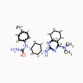 CC(C)c1ccc(N(C(N)=O)[C@H]2CC[C@@H](Nc3nc4c(c(N(C)C)n3)CCCC4)CC2)cc1